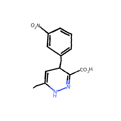 CC1=CC(c2cccc([N+](=O)[O-])c2)C(C(=O)O)=NN1